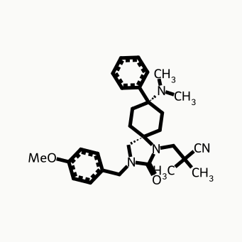 COc1ccc(CN2C[C@]3(CC[C@@](c4ccccc4)(N(C)C)CC3)N(CC(C)(C)C#N)C2=O)cc1